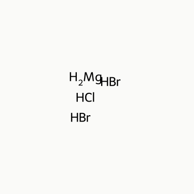 Br.Br.Cl.[MgH2]